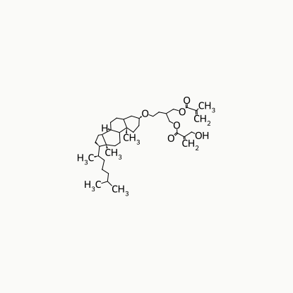 C=C(C)C(=O)OCC(CCO[C@H]1CC[C@@]2(C)C(CC[C@@H]3C2CC[C@@]2(C)C3CC[C@@H]2[C@H](C)CCCC(C)C)C1)COC(=O)C(=C)CO